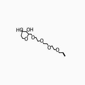 C=CCOCCOCCOCCOCC1OCCC(O)C1O